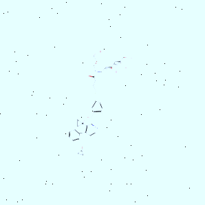 O=C(CCCSc1ccc(Cl)c(COC2(c3cnccc3-c3ccccc3OC3CC3)CC2)c1)N(CCCO)C[C@H](O)[C@@H](O)[C@H](O)[C@H](O)CO